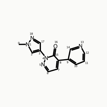 Cn1cc(-n2nccc(-c3cccnc3)c2=O)cn1